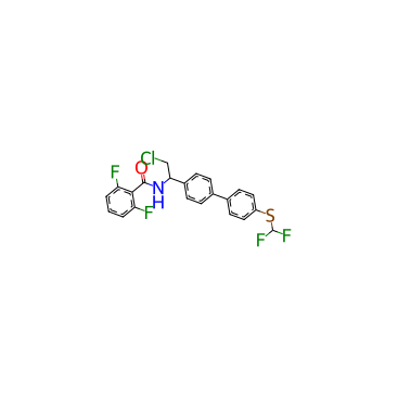 O=C(NC(CCl)c1ccc(-c2ccc(SC(F)F)cc2)cc1)c1c(F)cccc1F